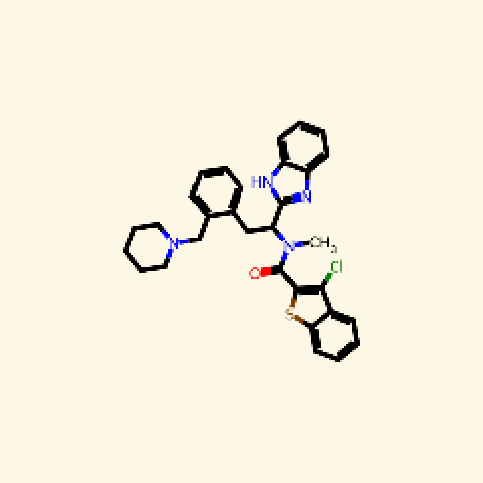 CN(C(=O)c1sc2ccccc2c1Cl)C(Cc1ccccc1CN1CCCCC1)c1nc2ccccc2[nH]1